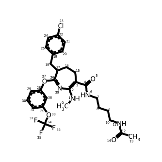 CNC1=C(C(=O)NCCCCNC(C)=O)CCC(Cc2ccc(Cl)cc2)C(Oc2cccc(OC(F)(F)F)c2)=N1